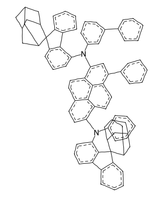 c1ccc(-c2cccc(N(c3cccc4c3-c3ccccc3C43C4CC5CC(C4)CC3C5)c3cc(-c4ccccc4)c4ccc5c(N(c6ccccc6)c6cccc7c6C6(c8ccccc8-7)C7CC8CC(C7)CC6C8)ccc6ccc3c4c65)c2)cc1